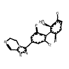 Oc1c(Cl)ccc(F)c1-c1c(F)cc(-c2nnc3n2CCN=C3)cc1Cl